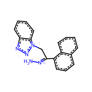 N/N=C(\Cn1nnc2ccccc21)c1cccc2ccccc12